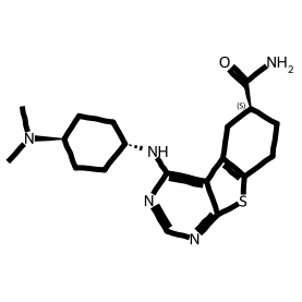 CN(C)[C@H]1CC[C@H](Nc2ncnc3sc4c(c23)C[C@@H](C(N)=O)CC4)CC1